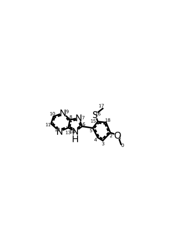 COc1ccc(-c2nc3nccnc3[nH]2)c(SC)c1